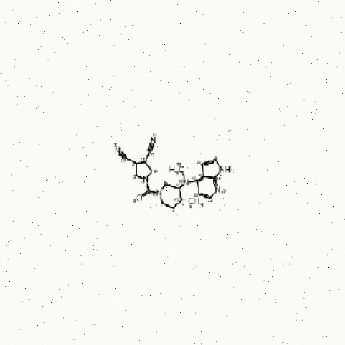 C[C@@H]1CCN(C(=O)N2CC(C#N)C(C#N)C2)CC1N(C)c1ccnc2[nH]ccc12